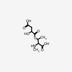 CNC(C(=O)O)C(C)OC(=O)C(O)CC(=O)O